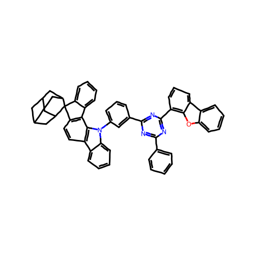 c1ccc(-c2nc(-c3cccc(-n4c5ccccc5c5ccc6c(c54)-c4ccccc4C64C5CC6CC(C5)CC4C6)c3)nc(-c3cccc4c3oc3ccccc34)n2)cc1